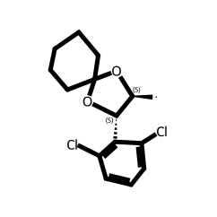 [CH2][C@@H]1OC2(CCCCC2)O[C@H]1c1c(Cl)cccc1Cl